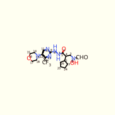 O=CN(O)CC(C(=O)NNc1ncc(N2CCOCC2)c(C(F)(F)F)n1)C1CCCC1